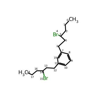 CCCC(Br)CCc1cccc(CCC(Br)CCC)c1